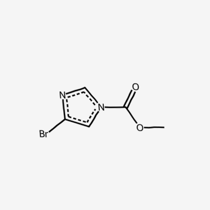 COC(=O)n1cnc(Br)c1